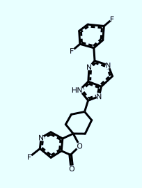 O=C1OC2(CCC(c3nc4cnc(-c5cc(F)ccc5F)nc4[nH]3)CC2)c2cnc(F)cc21